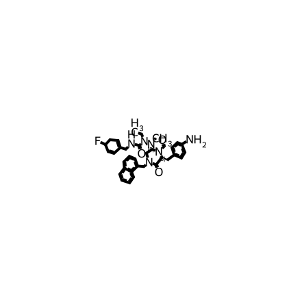 CCN(C(=O)NCC1=CCC(F)C=C1)N(C)[C@H]1CN(Cc2cccc3ccccc23)C(=O)[C@H](Cc2ccc(N)cc2)N1C=O